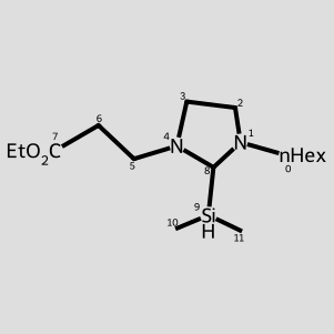 CCCCCCN1CCN(CCC(=O)OCC)C1[SiH](C)C